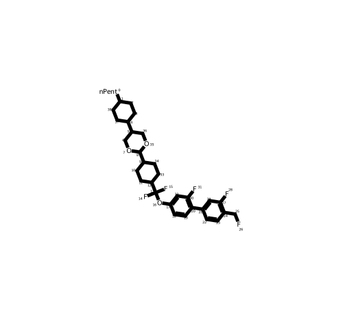 CCCCCC1CCC(C2COC(C3CCC(C(F)(F)Oc4ccc(-c5ccc(CF)c(F)c5)c(F)c4)CC3)OC2)CC1